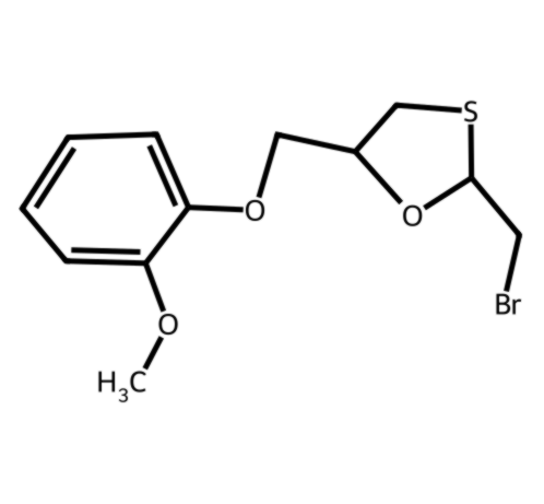 COc1ccccc1OCC1CSC(CBr)O1